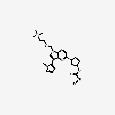 CC(C)NC(=O)O[C@@H]1CC[C@H](c2cnc3c(n2)c(-c2ccnn2C)cn3COCC[Si](C)(C)C)C1